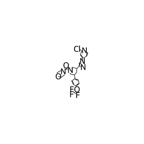 O=C(N1CCOCC1)N1CC(c2ccc(OC(F)(F)F)cc2)CC(c2cn(-c3ccnc(Cl)c3)cn2)C1